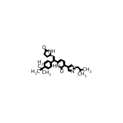 CC(C)Cn1cc(-c2ccc(C(=C[C@H]3CCC(=O)N3)c3ccc(C(C)(C)C)cc3)[nH]c2=O)cn1